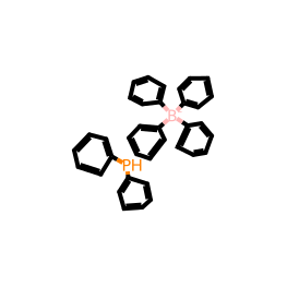 c1ccc(Pc2ccccc2)cc1.c1ccc([B-](c2ccccc2)(c2ccccc2)c2ccccc2)cc1